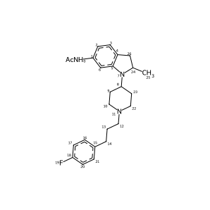 CC(=O)Nc1ccc2c(c1)N(C1CCN(CCCc3ccc(F)cc3)CC1)C(C)C2